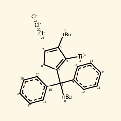 CCCCC(C1=[C]([Ti+3])C(C(C)(C)C)=CC1)(c1ccccc1)c1ccccc1.[Cl-].[Cl-].[Cl-]